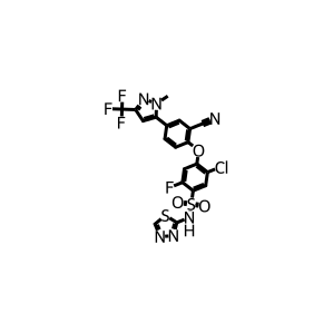 Cn1nc(C(F)(F)F)cc1-c1ccc(Oc2cc(F)c(S(=O)(=O)Nc3nncs3)cc2Cl)c(C#N)c1